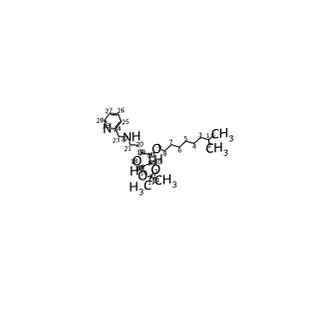 CC(C)CCCCCCO[C@@H]1[C@H]2OC(C)(C)O[C@H]2O[C@@H]1CCNCc1ccccn1